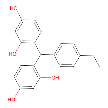 CCc1ccc(C(c2ccc(O)cc2O)c2ccc(O)cc2O)cc1